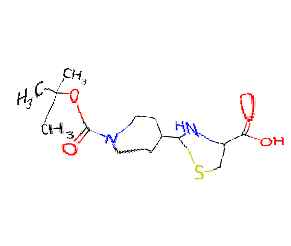 CC(C)(C)OC(=O)N1CCC(C2NC(C(=O)O)CS2)CC1